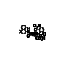 CC1(C)CCC(NC(=O)NC[C@H](NC(=O)c2c(Cl)ccc([N+](=O)[O-])c2Cl)C(=O)O)c2ccccc21